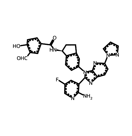 Nc1ncc(F)cc1-c1nc2ccc(-n3cccn3)nc2n1-c1ccc2c(c1)CC[C@@H]2NC(=O)c1ccc(O)c(C=O)c1